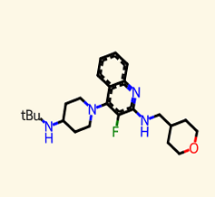 CC(C)(C)NC1CCN(c2c(F)c(NCC3CCOCC3)nc3ccccc23)CC1